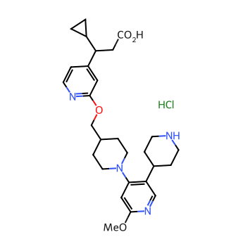 COc1cc(N2CCC(COc3cc(C(CC(=O)O)C4CC4)ccn3)CC2)c(C2CCNCC2)cn1.Cl